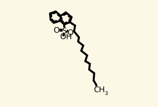 CCCCCCCCCCCCCCc1ccc2ccccc2c1S(=O)(=O)O